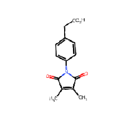 CC1=C(C)C(=O)N(c2ccc(CC(=O)O)cc2)C1=O